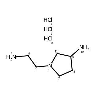 Cl.Cl.Cl.NCCN1CCC(N)C1